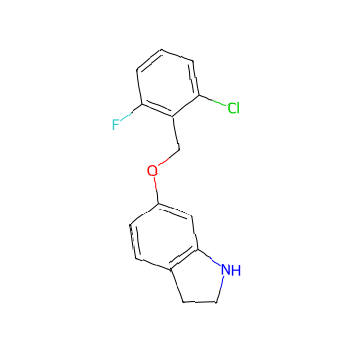 Fc1cccc(Cl)c1COc1ccc2c(c1)NCC2